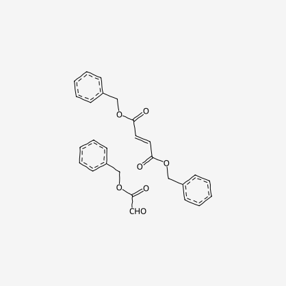 O=C(/C=C/C(=O)OCc1ccccc1)OCc1ccccc1.O=CC(=O)OCc1ccccc1